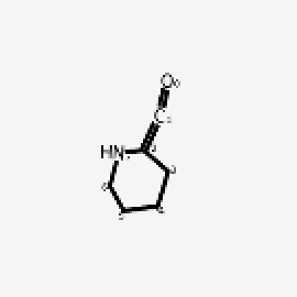 O=C=C1C[CH]CCN1